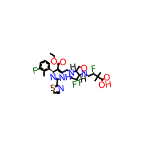 CCOC(=O)C1=C(CN2CC(F)(F)[C@H]3[C@@H]2CON3C[C@@H](F)C(C)(C)C(=O)O)NC(c2nccs2)=N[C@H]1c1cccc(F)c1C